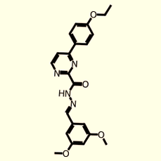 CCOc1ccc(-c2ccnc(C(=O)NN=Cc3cc(OC)cc(OC)c3)n2)cc1